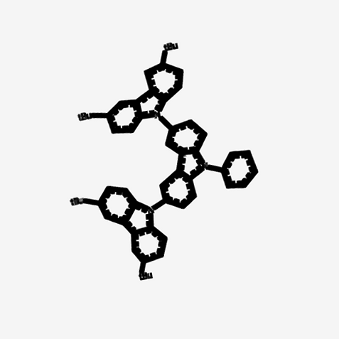 CC(C)(C)c1ccc2c(c1)c1cc(C(C)(C)C)ccc1n2-c1ccc2c(c1)c1cc(-n3c4ccc(C(C)(C)C)cc4c4cc(C(C)(C)C)ccc43)ccc1n2-c1ccccc1